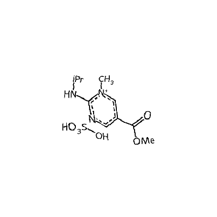 COC(=O)c1cnc(NC(C)C)[n+](C)c1.O=S(=O)(O)O